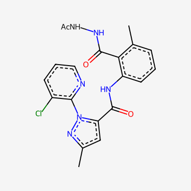 CC(=O)NNC(=O)c1c(C)cccc1NC(=O)c1cc(C)nn1-c1ncccc1Cl